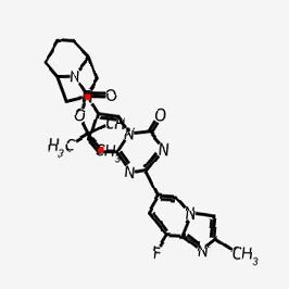 Cc1cn2cc(-c3nc(=O)n4cc(N5CC6CCCC(C5)N6C(=O)OC(C)(C)C)ccc4n3)cc(F)c2n1